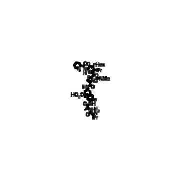 CCCCCCN(C(=O)[C@@H](NC(=O)[C@H]1CCCCN1C)[C@@H](C)CC)[C@H](C[C@@H](OC(=O)NC)c1nc(C(=O)N[C@@H](Cc2ccc(NC(=O)[C@H](C)NC(=O)[C@@H](N)C(C)C)c(F)c2)CC(C)(C)C(=O)O)cs1)C(C)C